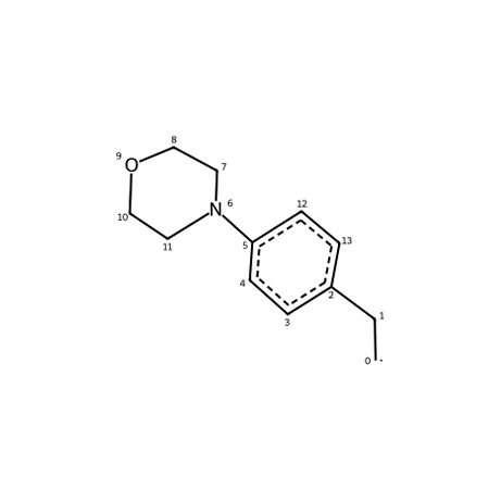 [CH2]Cc1ccc(N2CCOCC2)cc1